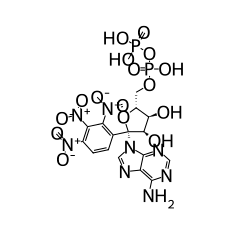 Nc1ncnc2c1ncn2[C@]1(c2ccc([N+](=O)[O-])c([N+](=O)[O-])c2[N+](=O)[O-])O[C@H](COP(=O)(O)OP(=O)(O)O)[C@@H](O)[C@H]1O